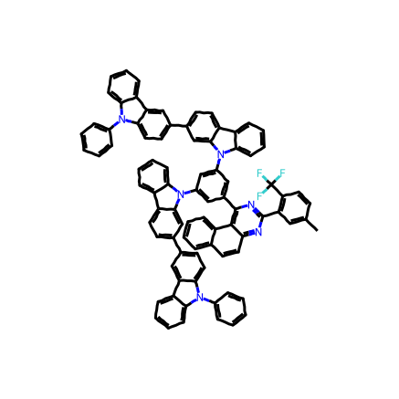 Cc1ccc(C(F)(F)F)c(-c2nc(-c3cc(-n4c5ccccc5c5ccc(-c6ccc7c(c6)c6ccccc6n7-c6ccccc6)cc54)cc(-n4c5ccccc5c5ccc(-c6ccc7c(c6)c6ccccc6n7-c6ccccc6)cc54)c3)c3c(ccc4ccccc43)n2)c1